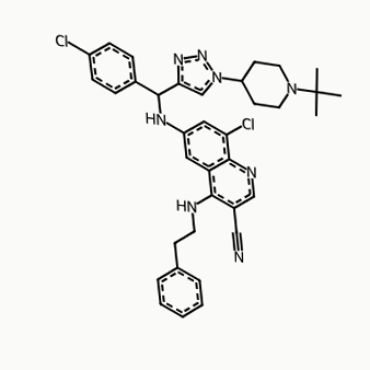 CC(C)(C)N1CCC(n2cc(C(Nc3cc(Cl)c4ncc(C#N)c(NCCc5ccccc5)c4c3)c3ccc(Cl)cc3)nn2)CC1